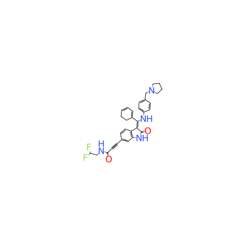 O=C(C#Cc1ccc2c(c1)NC(=O)/C2=C(\Nc1ccc(CN2CCCC2)cc1)C1=CC=CCC1)NCC(F)F